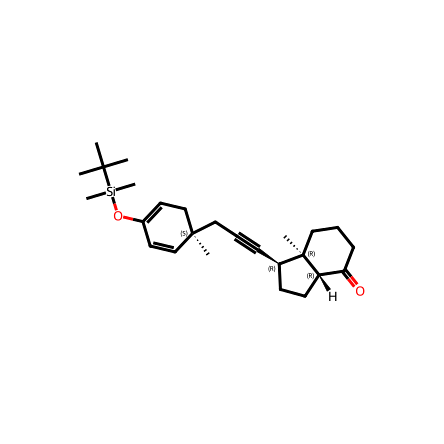 CC(C)(C)[Si](C)(C)OC1=CC[C@@](C)(CC#C[C@@H]2CC[C@H]3C(=O)CCC[C@]23C)C=C1